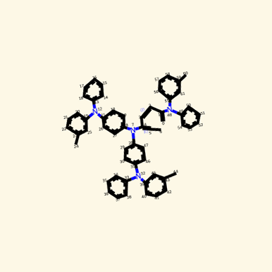 C=C(/C=C\C(=C/C)N(c1ccc(N(c2ccccc2)c2cccc(C)c2)cc1)c1ccc(N(c2ccccc2)c2cccc(C)c2)cc1)N(c1ccccc1)c1cccc(C)c1